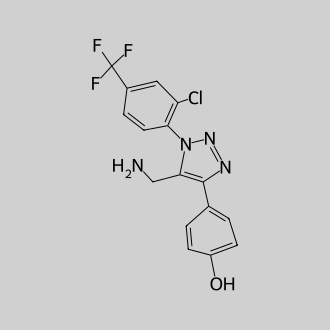 NCc1c(-c2ccc(O)cc2)nnn1-c1ccc(C(F)(F)F)cc1Cl